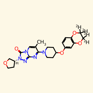 [2H]C1([2H])Oc2ccc(OC3CCN(c4nc5nn([C@@H]6CCOC6)c(=O)n5cc4C)CC3)cc2OC1([2H])[2H]